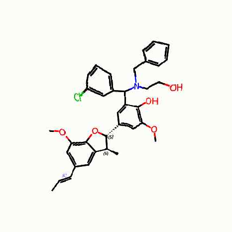 C/C=C/c1cc(OC)c2c(c1)[C@H](C)[C@@H](c1cc(OC)c(O)c(C(c3cccc(Cl)c3)N(CCO)Cc3ccccc3)c1)O2